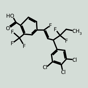 CCC(F)(F)C(C=C(F)c1ccc(C(=O)O)c(C(F)(F)F)c1)c1cc(Cl)c(Cl)c(Cl)c1